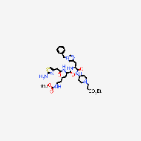 CCOC(=O)CCN1CCC(NC(=O)C(Cc2cn(Cc3ccccc3)cn2)NC(=O)C(CCCCNC(=O)OC(C)(C)C)NC(=O)Cc2csc(N)n2)CC1